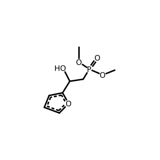 COP(=O)(CC(O)c1ccco1)OC